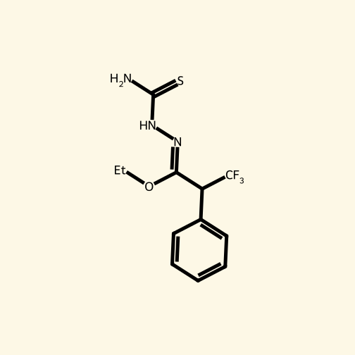 CCOC(=NNC(N)=S)C(c1ccccc1)C(F)(F)F